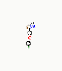 CC(=O)C1CSC(c2ccc(OCc3ccc(F)cc3)cc2)N1